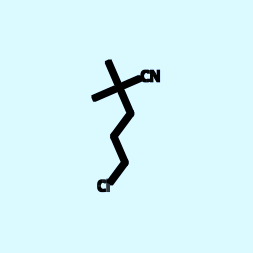 CC(C)(C#N)CCCCl